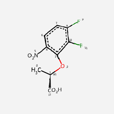 C[C@@H](Oc1c([N+](=O)[O-])ccc(F)c1F)C(=O)O